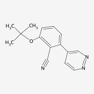 CC(C)(C)Oc1cccc(-c2ccnnc2)c1C#N